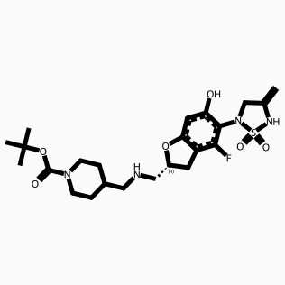 C=C1CN(c2c(O)cc3c(c2F)C[C@H](CNCC2CCN(C(=O)OC(C)(C)C)CC2)O3)S(=O)(=O)N1